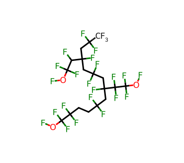 FOC(F)(F)C(F)C(F)(CC(F)(F)CC(F)(CC(F)(F)CCC(F)(F)C(F)(F)OF)C(F)(F)C(F)(F)OF)CC(F)(F)C(F)(F)F